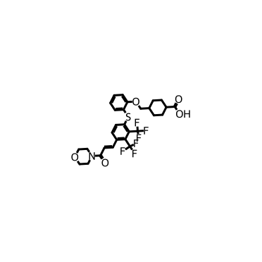 O=C(O)C1CCC(COc2ccccc2Sc2ccc(C=CC(=O)N3CCOCC3)c(C(F)(F)F)c2C(F)(F)F)CC1